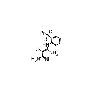 CC(C)S(=O)(=O)c1ccccc1N/C(N)=C(\Cl)C(=N)N